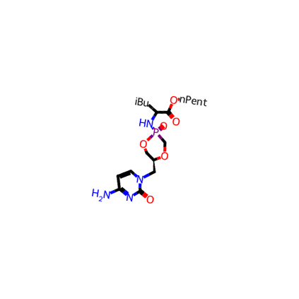 CCCCCOC(=O)C(NP1(=O)CO[C@@H](Cn2ccc(N)nc2=O)CO1)C(C)CC